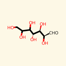 O=C[C@@H](O)[C@H](O)[C@H](O)C(O)C(O)CO